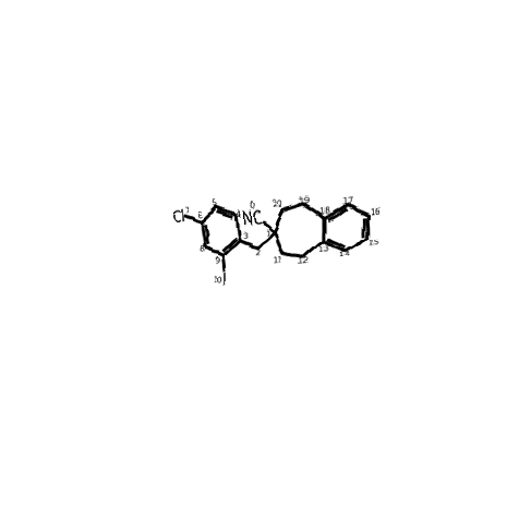 N#CC1(Cc2ccc(Cl)cc2I)CCc2ccccc2CC1